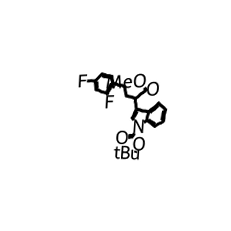 COC(=O)C(CCc1ccc(F)cc1F)c1cn(C(=O)OC(C)(C)C)c2ccccc12